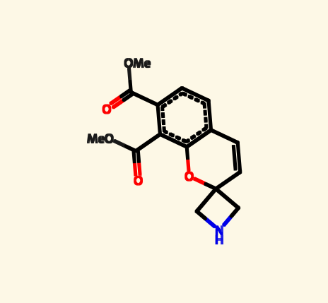 COC(=O)c1ccc2c(c1C(=O)OC)OC1(C=C2)CNC1